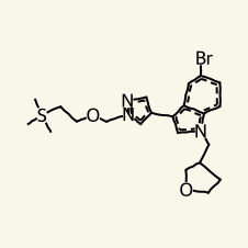 CS(C)(C)CCOCn1cc(-c2cn(CC3CCOC3)c3ccc(Br)cc23)cn1